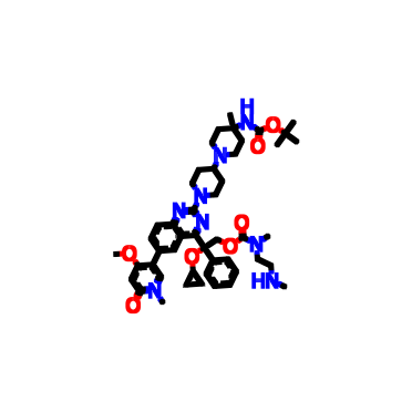 CNCCN(C)C(=O)OCC(OC1CC1)(c1ccccc1)c1nc(N2CCC(N3CCC(C)(NC(=O)OC(C)(C)C)CC3)CC2)nc2ccc(-c3cn(C)c(=O)cc3OC)cc12